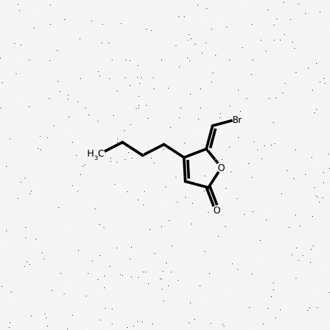 CCCCC1=CC(=O)O/C1=C\Br